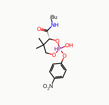 CCC(C)NC(=O)[C@@H]1O[PH](O)(Oc2ccc([N+](=O)[O-])cc2)OCC1(C)C